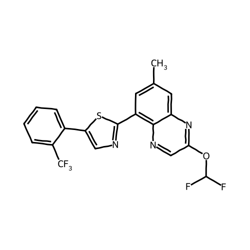 Cc1cc(-c2ncc(-c3ccccc3C(F)(F)F)s2)c2ncc(OC(F)F)nc2c1